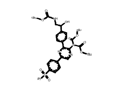 CC(C)S(=O)(=O)c1ccc(-c2cnc(N(C(=O)OC(C)(C)C)C(=O)OC(C)(C)C)c(-c3ccc(C(O)CNC(=O)OC(C)(C)C)cc3)n2)cc1